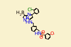 Bc1cnn2c(NCc3cccc(CNS(=O)(=O)c4cccc(OC)c4)c3)cc(-c3ccccc3Cl)nc12